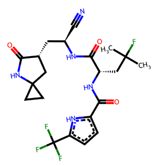 CC(C)(F)C[C@H](NC(=O)c1ccc(C(F)(F)F)[nH]1)C(=O)N[C@H](C#N)C[C@@H]1CC2(CC2)NC1=O